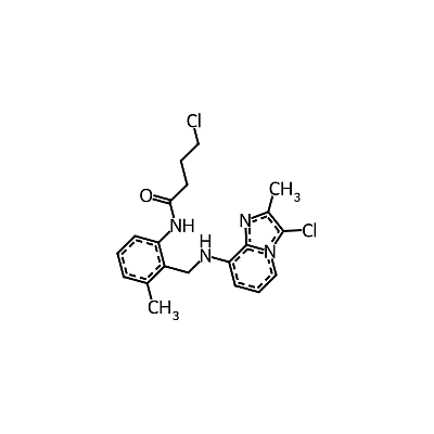 Cc1cccc(NC(=O)CCCCl)c1CNc1cccn2c(Cl)c(C)nc12